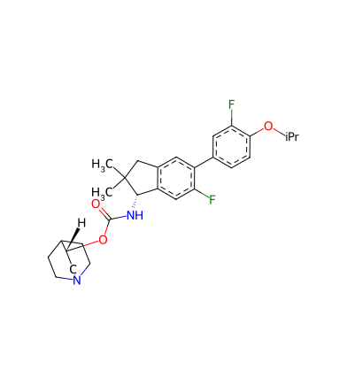 CC(C)Oc1ccc(-c2cc3c(cc2F)[C@H](NC(=O)O[C@@H]2CN4CCC2CC4)C(C)(C)C3)cc1F